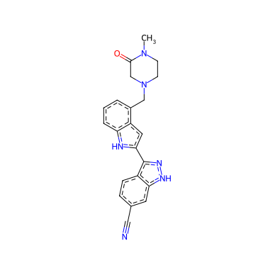 CN1CCN(Cc2cccc3[nH]c(-c4n[nH]c5cc(C#N)ccc45)cc23)CC1=O